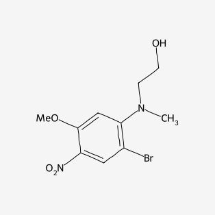 COc1cc(N(C)CCO)c(Br)cc1[N+](=O)[O-]